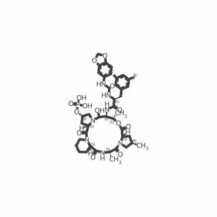 C[C@@H]1C[C@H]2C(=O)O[C@@H](C)[C@H](NC(=O)[C@H](Cc3cc(F)cc(F)c3)NC(=O)Nc3ccc4c(c3)OCO4)C(O)N3C[C@H](OP(=O)(O)O)C[C@H]3C(=O)N3CCCC[C@H]3C(=O)N[C@@H](C)C(=O)N2C1